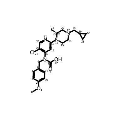 COc1ccc(CN(C(=O)O)c2cc(N3CCN(CC4CC4)C[C@@H]3C)ncc2Cl)cc1